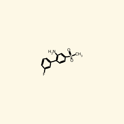 CS(=O)(=O)c1ccc(-c2cccc(F)c2)c(N)c1